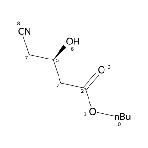 CCCCOC(=O)C[C@H](O)CC#N